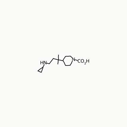 CC(C)(CCNC1CC1)C1CCN(C(=O)O)CC1